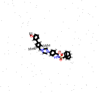 CCOc1cccc(-c2cc(OC)c(CN3CCN(c4ccc(C(=O)NS(=O)(=O)CC56CC7CC(CC(C7)C5)C6)cc4)CC3)c(OC)c2)c1